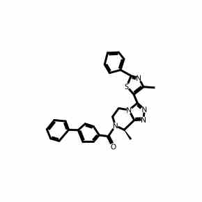 Cc1nc(-c2ccccc2)sc1-c1nnc2n1CCN(C(=O)c1ccc(-c3ccccc3)cc1)[C@@H]2C